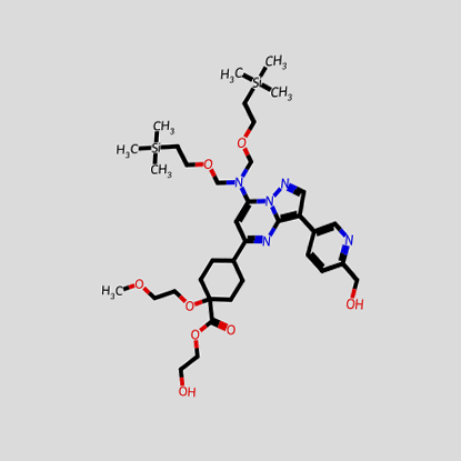 COCCOC1(C(=O)OCCO)CCC(c2cc(N(COCC[Si](C)(C)C)COCC[Si](C)(C)C)n3ncc(-c4ccc(CO)nc4)c3n2)CC1